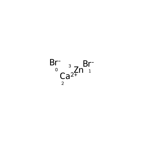 [Br-].[Br-].[Ca+2].[Zn]